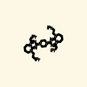 CC(C)CCN1CCCCN(CCC(C)C)C1=NC(=N)N1CCN(C(=N)N=C2N(CCC(C)C)CCCCN2CCC(C)C)CC1